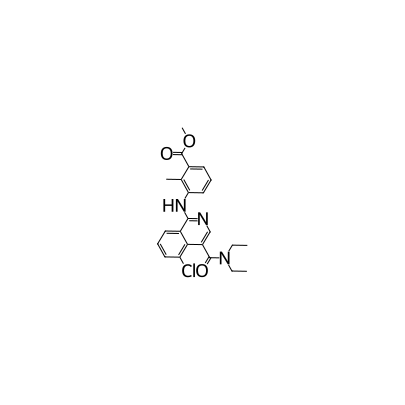 CCN(CC)C(=O)c1cnc(Nc2cccc(C(=O)OC)c2C)c2cccc(Cl)c12